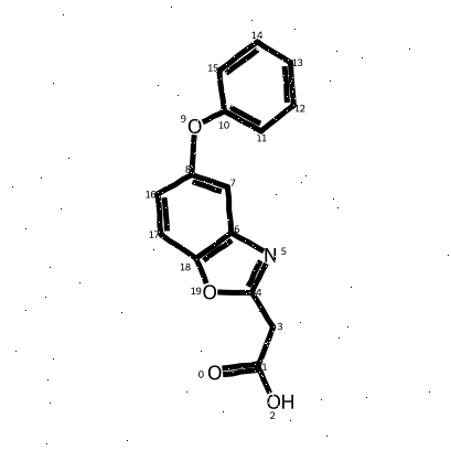 O=C(O)Cc1nc2cc(Oc3ccccc3)ccc2o1